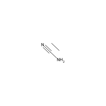 CC.N#CN